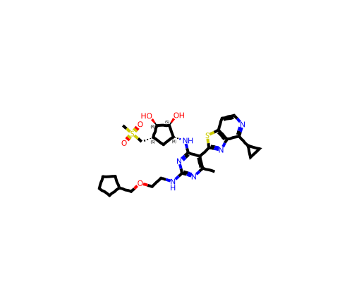 Cc1nc(NCCOCC2CCCC2)nc(N[C@@H]2C[C@H](CS(C)(=O)=O)[C@@H](O)[C@H]2O)c1-c1nc2c(C3CC3)nccc2s1